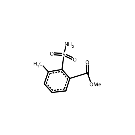 COC(=O)c1cccc(C)c1S(N)(=O)=O